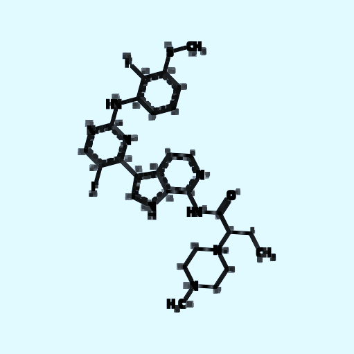 CCC(C(=O)Nc1nccc2c(-c3nc(Nc4cccc(SC)c4F)ncc3F)c[nH]c12)N1CCN(C)CC1